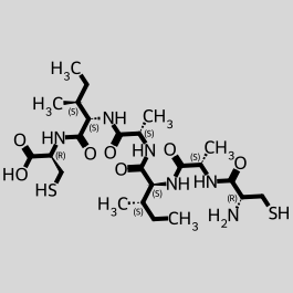 CC[C@H](C)[C@H](NC(=O)[C@H](C)NC(=O)[C@@H](N)CS)C(=O)N[C@@H](C)C(=O)N[C@H](C(=O)N[C@@H](CS)C(=O)O)[C@@H](C)CC